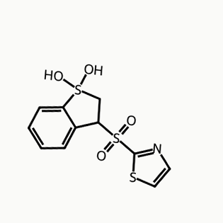 O=S(=O)(c1nccs1)C1CS(O)(O)c2ccccc21